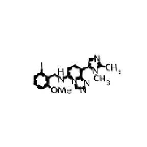 COc1cccc(I)c1CNc1ccc(-c2cnc(C)n2C)c2nncn12